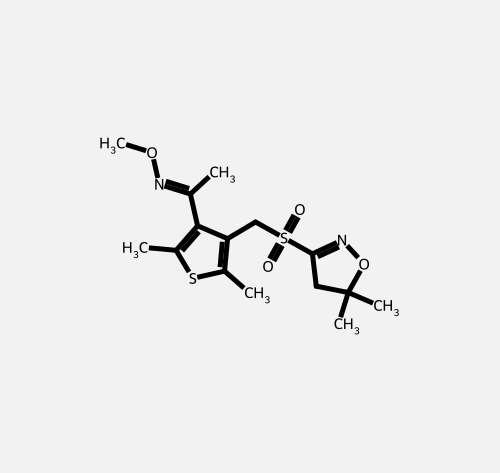 CON=C(C)c1c(C)sc(C)c1CS(=O)(=O)C1=NOC(C)(C)C1